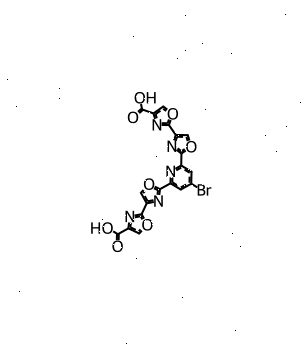 O=C(O)c1coc(-c2coc(-c3cc(Br)cc(-c4nc(-c5nc(C(=O)O)co5)co4)n3)n2)n1